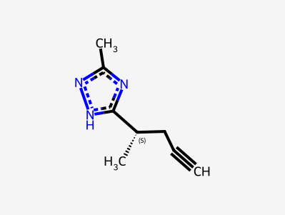 C#CC[C@H](C)c1nc(C)n[nH]1